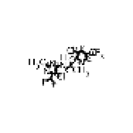 Cc1nc(NC[C@H](C)Oc2ncc(C(F)(F)F)cc2Cl)c(Cl)c(C(F)F)n1